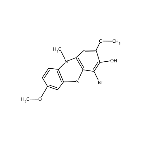 COc1ccc2c(c1)Sc1c(cc(OC)c(O)c1Br)N2C